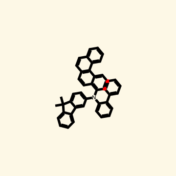 CC1(C)c2ccccc2-c2cc(N(c3ccccc3-c3ccccc3)c3cccc4c3ccc3ccc5ccccc5c34)ccc21